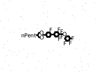 CCCCCC1COC(c2ccc(-c3cc(F)c(C(F)(F)Oc4cc(F)c(F)c(F)c4)c(F)c3)c(F)c2)OC1